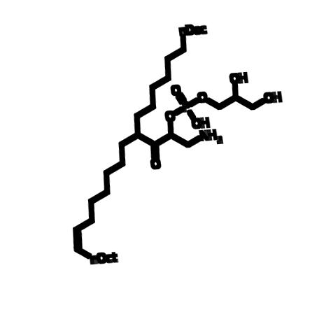 CCCCCCCC/C=C\CCCCCCC(CCCCCCCCCCCCCCCC)C(=O)C(CN)OP(=O)(O)OCC(O)CO